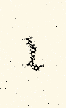 N#Cc1cccc(-c2cc(-c3cn(Cc4cccc(S(=O)(=O)N5CC(C(=O)O)C5)n4)nn3)nc(N)n2)c1